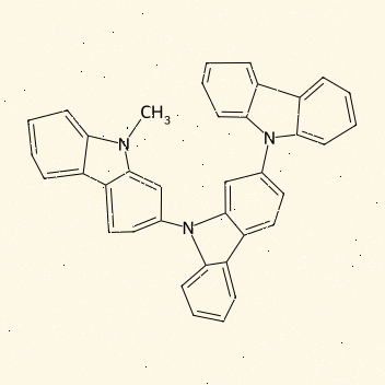 Cn1c2ccccc2c2ccc(-n3c4ccccc4c4ccc(-n5c6ccccc6c6ccccc65)cc43)cc21